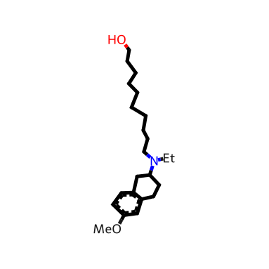 CCN(CCCCCCCCCCO)C1CCc2cc(OC)ccc2C1